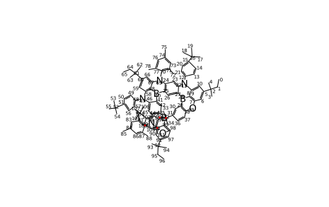 CCC(C)(C)c1cc2c3c(c1)N(c1ccc(C(C)(C)C)cc1)c1cc4c(cc1B3c1cc(C(C)(C)C)ccc1O2)B1c2cc3c(cc2N(c2ccc(C(C)(C)C)cc2)c2cc(C(C)(C)CC)cc(c21)N4c1c(C)cc(C)cc1C)N(c1c(C)cc(C)cc1C)c1cc(C(C)(C)CC)cc2c1B3c1cc(C(C)(C)C)ccc1O2